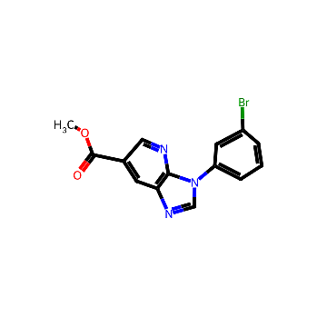 COC(=O)c1cnc2c(c1)ncn2-c1cccc(Br)c1